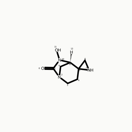 O=C1N2CCC3(CN3)[C@@H](C2)N1O